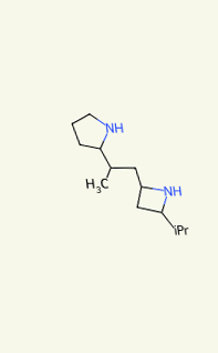 CC(C)C1CC(CC(C)C2CCCN2)N1